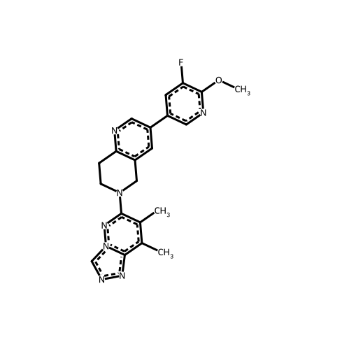 COc1ncc(-c2cnc3c(c2)CN(c2nn4cnnc4c(C)c2C)CC3)cc1F